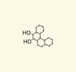 Oc1c(O)c2ccc3ccccc3c2c2ccccc12